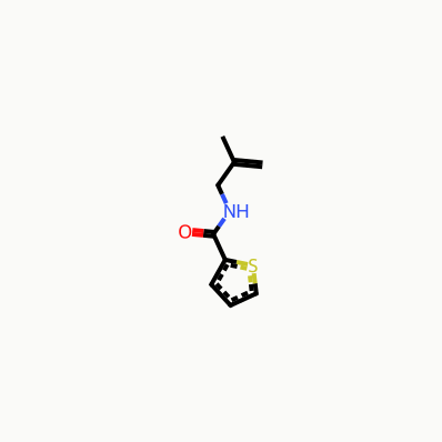 C=C(C)CNC(=O)c1cccs1